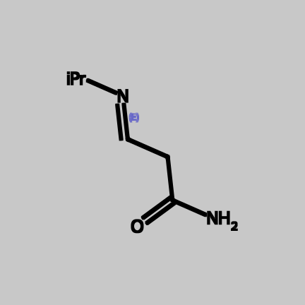 CC(C)/N=C/CC(N)=O